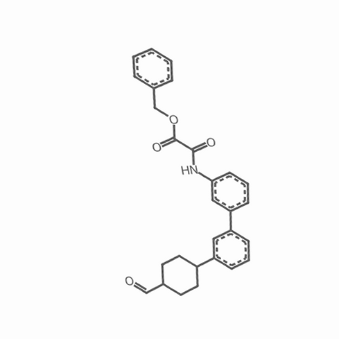 O=CC1CCC(c2cccc(-c3cccc(NC(=O)C(=O)OCc4ccccc4)c3)c2)CC1